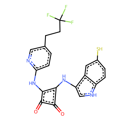 O=c1c(Nc2ccc(CCC(F)(F)F)cn2)c(Nc2c[nH]c3ccc(S)cc23)c1=O